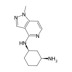 Cn1ncc2c(N[C@@H]3CCC[C@H](N)C3)nccc21